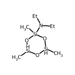 CCN(CC)[Si]1(C)O[SiH](C)O[SiH](C)O1